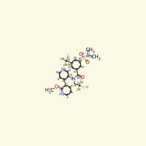 COc1ncccc1-c1ccncc1N(CC(F)(F)F)C(=O)c1cc(C(F)(F)F)cc(S(=O)(=O)N(C)C)c1